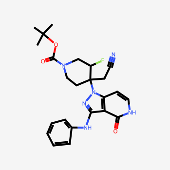 CC(C)(C)OC(=O)N1CCC(CC#N)(n2nc(Nc3ccccc3)c3c(=O)[nH]ccc32)C(F)C1